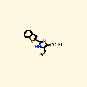 CCOC(=O)c1nc(-c2cc3ccccc3s2)[nH]c1CC(C)C